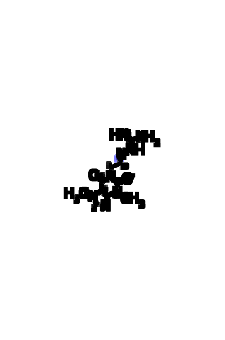 Cn1cnc2c1c(=O)n(C/C=N/NC(=N)N)c(=O)n2C